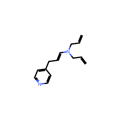 C=CCN(C=CCc1ccncc1)CC=C